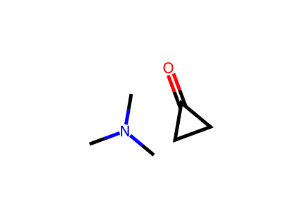 CN(C)C.O=C1CC1